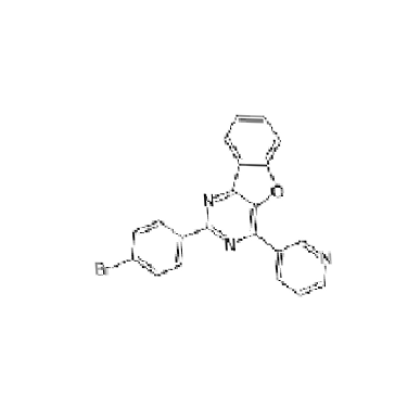 Brc1ccc(-c2nc(-c3cccnc3)c3oc4ccccc4c3n2)cc1